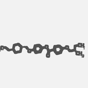 CCC[C@H]1CC[C@H](COc2ccc(OC(=O)c3ccc(OC[C@@H](C)CC)cc3)cc2)CC1